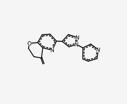 C=C1CCOc2ccc(-c3cnn(-c4cccnc4)c3)nc21